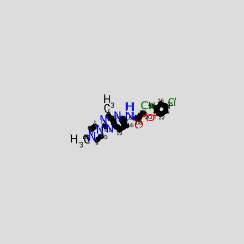 Cc1nc(N2CCN(C)CC2)nc2ccc(NC(=O)COc3ccc(Cl)cc3Cl)nc12